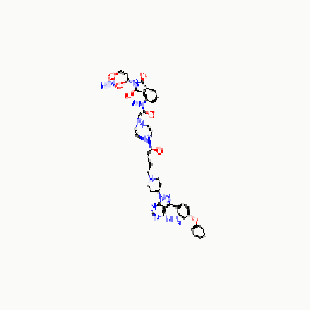 Nc1ncnc2c1c(-c1ccc(Oc3ccccc3)cc1)nn2C1CCN(CCCC(=O)N2CCN(CC(=O)Nc3cccc4c3C(=O)N(C3CCONO3)C4=O)CC2)CC1